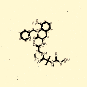 CC(C)C[C@@H](NC(=O)C(C)(C)NC(=O)OC(C)(C)C)C(=O)NC1Cc2cccc(N)c2N(Cc2ccccn2)C1=O